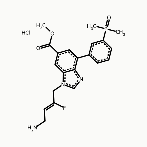 COC(=O)c1cc(-c2cccc(P(C)(C)=O)c2)c2ncn(CC(F)=CCN)c2c1.Cl